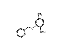 Bc1ccc(OC)c(OCc2ccccc2)c1